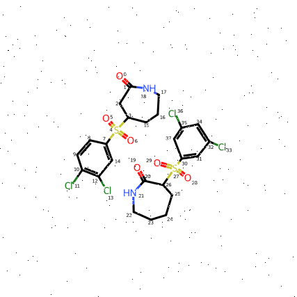 O=C1CC(S(=O)(=O)c2ccc(Cl)c(Cl)c2)CCCN1.O=C1NCCCCC1S(=O)(=O)c1cc(Cl)cc(Cl)c1